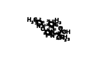 Cc1ccc(COc2ccc3nc(C4C(C(=O)O)C4(C)C)n(Cc4ccccc4C)c3c2)nc1